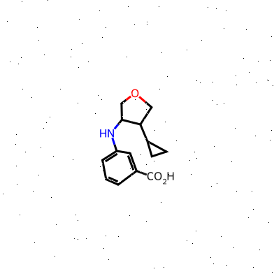 O=C(O)c1cccc(NC2COCC2C2CC2)c1